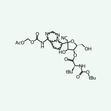 CC(=O)OCOC(=O)Nc1ncnn2c([C@]3(C#N)O[C@H](CO)[C@@H](OC(=O)[C@@H](NC(=O)OC(C)(C)C)C(C)(C)C)[C@H]3O)ccc12